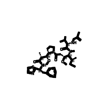 C=C(C)CN[C@H](C(=O)N(C)[C@@H]([C@@H](C)CC)[C@@H](CC(=O)N1CCC[C@H]1[C@H](OC)[C@@H](C)C(=O)N[C@@H](Cc1ccccc1)c1nccs1)OC)C(C)C